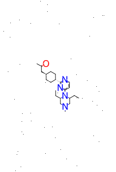 CCC1CN(C)CC(CC)N1c1ccnc([C@H]2CC[C@H](CC(C)=O)CC2)n1